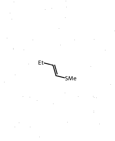 [CH2]S/C=C/CC